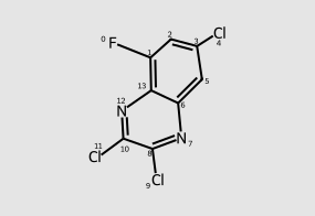 Fc1cc(Cl)cc2nc(Cl)c(Cl)nc12